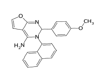 COc1ccc(C2N=c3occc3=C(N)N2c2cccc3ccccc23)cc1